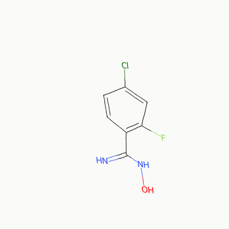 N=C(NO)c1ccc(Cl)cc1F